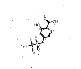 O=C(O)c1ncc(CS(=O)(=O)C(F)(F)F)cc1O